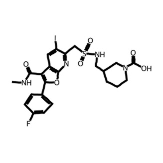 CNC(=O)c1c(-c2ccc(F)cc2)oc2nc(CS(=O)(=O)NCC3CCCN(C(=O)O)C3)c(I)cc12